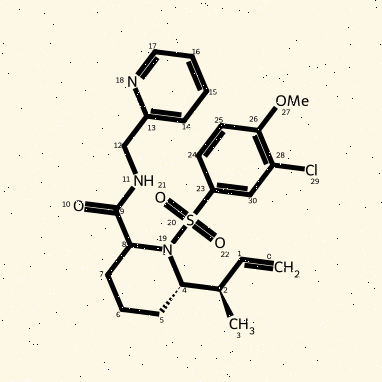 C=C[C@@H](C)[C@@H]1CCCC(C(=O)NCc2ccccn2)N1S(=O)(=O)c1ccc(OC)c(Cl)c1